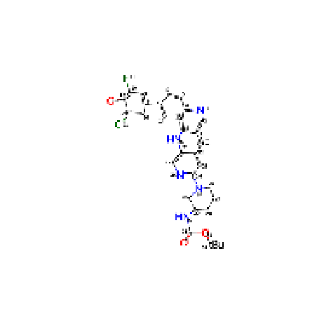 CC(=O)c1cnc2ccc(-c3cc(F)c(O)c(Cl)c3)cc2c1Nc1ccc(N2CCCC(NC(=O)OC(C)(C)C)C2)nc1